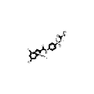 CC(C)NC(=O)NS(=O)(=O)c1ccc(NC(=O)c2cc3c(Cl)cc(Cl)cc3n2C)cc1